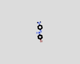 CN(C)C1CCC(=NNc2ccc(Br)cc2)CC1